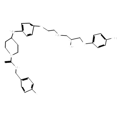 O=C(NCc1ccc(F)cc1)N1CCC(Nc2ccc(OCCNC[C@H](O)COc3ccc(O)cc3)cc2)CC1